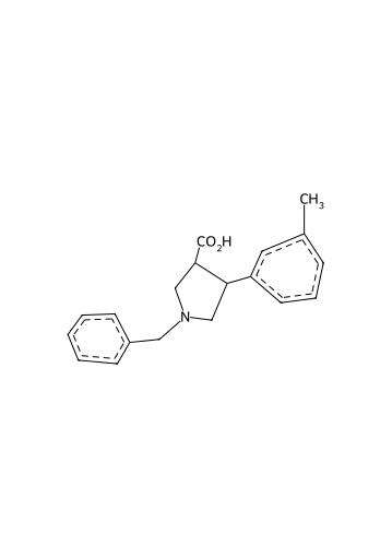 Cc1cccc(C2CN(Cc3ccccc3)CC2C(=O)O)c1